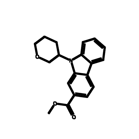 COC(=O)c1ccc2c3ccccc3n(C3CCCOC3)c2c1